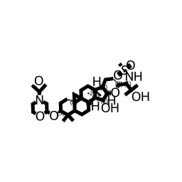 CC(C)(O)[C@@H](NS(C)(=O)=O)[C@H]1CC[C@H]2[C@H](O1)[C@H](O)[C@@]1(C)[C@@H]3CCC4C(C)(C)[C@@H](OC5CN(C6COC6)CCO5)CC[C@@]45CC35CC[C@]21C